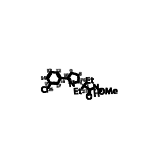 CCC(CC)(C(=O)NOC)[C@H]1CCC(c2cccc(Cl)c2)=N1